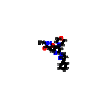 CC(C)NC(=O)c1cc2nc(-n3ccc(-c4ccccc4)n3)cc(N3CCOCC3)c2o1